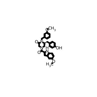 COc1cccc(CN2C(=O)CN(C(=O)c3cc4cc(OC)ccc4[nH]3)C[C@@H]2Cc2ccc(O)cc2)c1